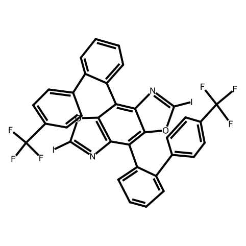 FC(F)(F)c1ccc(-c2ccccc2-c2c3nc(I)oc3c(-c3ccccc3-c3ccc(C(F)(F)F)cc3)c3nc(I)oc23)cc1